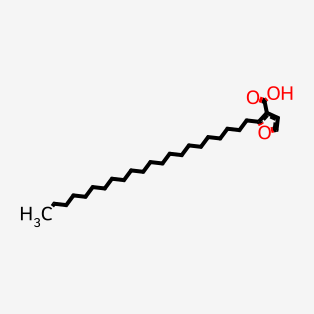 CCCCCCCCCCCCCCCCCCCCCCc1occc1C(=O)O